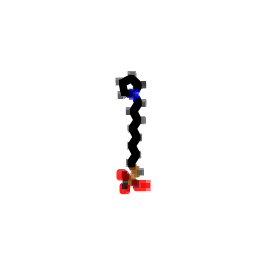 O=S(=O)(O)SCCCCCCCCN1CCCC1